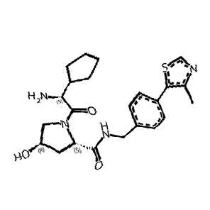 Cc1ncsc1-c1ccc(CNC(=O)[C@@H]2C[C@@H](O)CN2C(=O)[C@@H](N)C2CCCC2)cc1